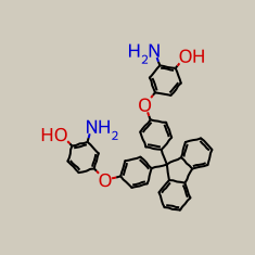 Nc1cc(Oc2ccc(C3(c4ccc(Oc5ccc(O)c(N)c5)cc4)c4ccccc4-c4ccccc43)cc2)ccc1O